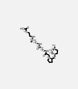 [13CH3][15N]1CC[15N]([13CH2]C2CCC[15N]2CC(=O)N[13CH2][13CH2][13C](=O)N[13CH2][13CH2][13C](=O)NCC[13CH2]C(=O)O)[13CH2][13CH2]1